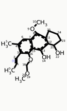 C/C=C/c1c(C)cc2c(OC)c3c(c(O)c2c1OCOC)C(O)CCC3